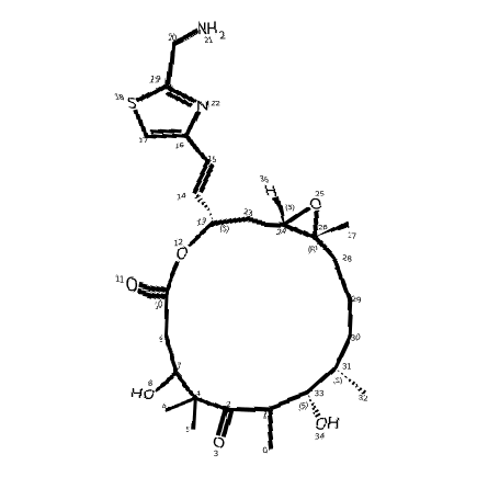 CC1C(=O)C(C)(C)C(O)CC(=O)O[C@H](C=Cc2csc(CN)n2)C[C@@H]2O[C@]2(C)CCC[C@H](C)[C@@H]1O